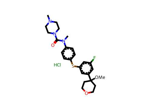 COC1(c2cc(F)cc(Sc3ccc(N(C)C(=O)N4CCN(C)CC4)cc3)c2)CCOCC1.Cl